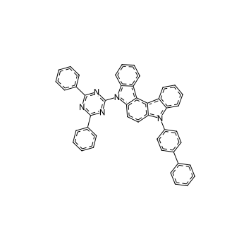 c1ccc(-c2ccc(-n3c4ccccc4c4c5c6ccccc6n(-c6nc(-c7ccccc7)nc(-c7ccccc7)n6)c5ccc43)cc2)cc1